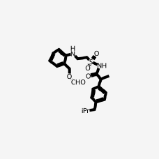 CC(C)Cc1ccc(C(C)C(=O)NS(=O)(=O)CCNc2ccccc2COC=O)cc1